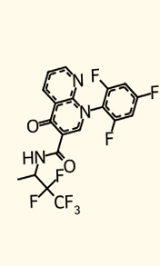 CC(NC(=O)c1cn(-c2c(F)cc(F)cc2F)c2ncccc2c1=O)C(F)(F)C(F)(F)F